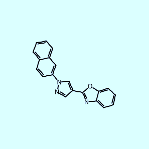 c1ccc2cc(-n3cc(-c4nc5ccccc5o4)cn3)ccc2c1